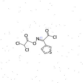 O=C(Cl)/C(=N/OC(=O)C(Cl)Cl)c1ccsc1